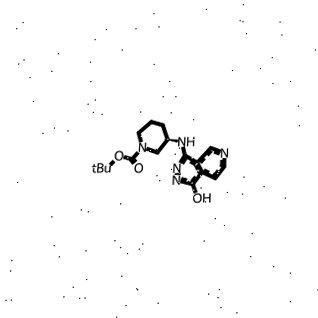 CC(C)(C)OC(=O)N1CCC[C@@H](Nc2nnc(O)c3ccncc23)C1